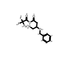 NCC(CC(=O)OC(=O)C(F)(F)F)OCc1ccccc1